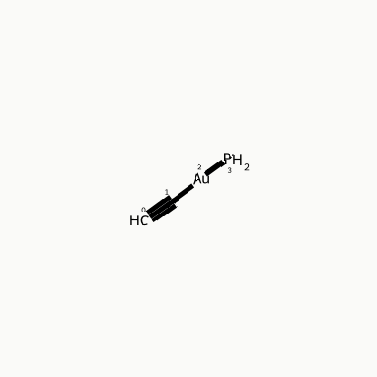 C#[C][Au][PH2]